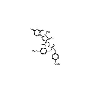 COc1ccc(OP(=S)(OC[C@@]2(C(F)F)O[C@@H](n3ccc(=O)[nH]c3=O)[C@H](O)[C@H]2O)Oc2ccc(OC)cc2)cc1